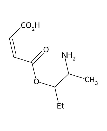 CCC(OC(=O)/C=C\C(=O)O)C(C)N